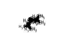 CC(C)(C)c1ccc(N(c2ccc(C(C)(C)C)cc2)c2ccc(-c3cc4c5c(c3)C(C)(C)c3cc(-c6ccc(N(c7ccc(C(C)(C)C)cc7)c7ccc(C(C)(C)C)cc7)c7ccccc67)cc6c3N5c3c(cccc3C6(C)C)C4(C)C)c3ccccc23)cc1